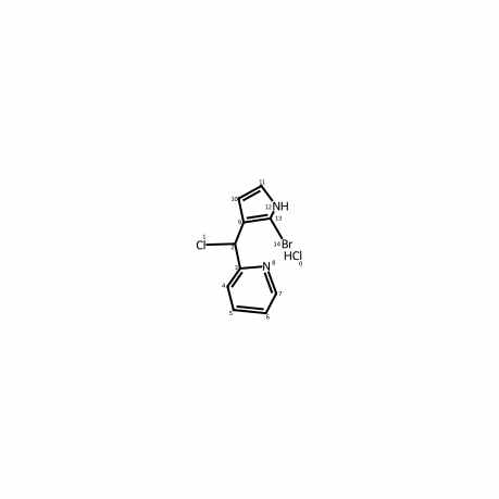 Cl.ClC(c1ccccn1)c1cc[nH]c1Br